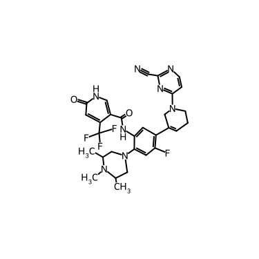 CC1CN(c2cc(F)c(C3=CCCN(c4ccnc(C#N)n4)C3)cc2NC(=O)c2c[nH]c(=O)cc2C(F)(F)F)CC(C)N1C